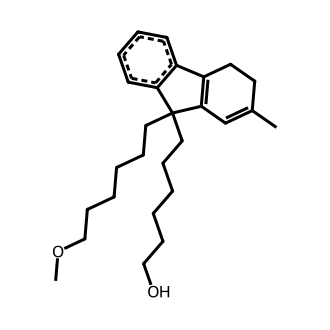 COCCCCCCC1(CCCCCCO)C2=C(CCC(C)=C2)c2ccccc21